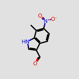 Cc1c([N+](=O)[O-])ccc2c(C=O)c[nH]c12